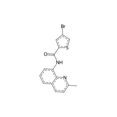 Cc1ccc2cccc(NC(=O)c3cc(Br)cs3)c2n1